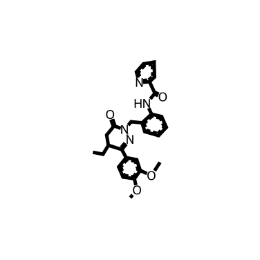 CCC1CC(=O)N(Cc2ccccc2NC(=O)c2ccccn2)N=C1c1ccc(OC)c(OC)c1